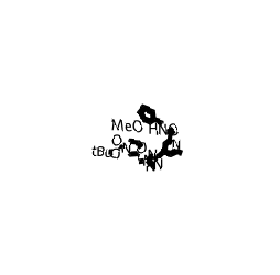 COc1cccc(CNC(=O)c2cc(-c3nnn(C[C@@H]4CN(C(=O)OC(C)(C)C)CCO4)n3)cc(C)n2)c1